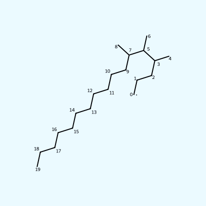 [CH2]CCC(C)C(C)C(C)CCCCCCCCCCC